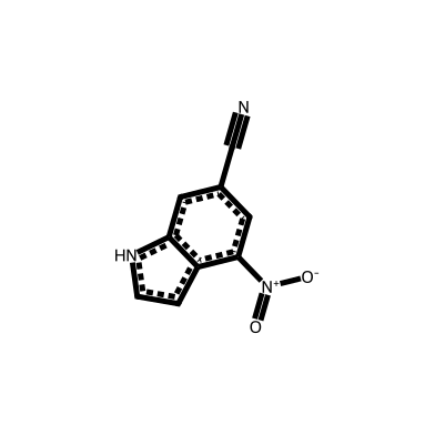 N#Cc1cc([N+](=O)[O-])c2cc[nH]c2c1